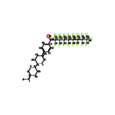 CC[C@H]1CC[C@H]([C@H]2CC[C@H](c3ccc(C(=O)C(F)(F)C(F)(F)C(F)(F)C(F)(F)C(F)(F)C(F)(F)C(F)(F)C(F)(F)F)cc3)CC2)CC1